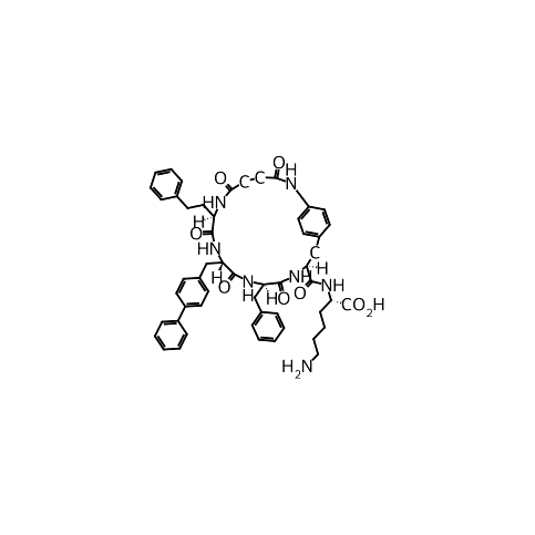 NCCCC[C@H](NC(=O)[C@@H]1Cc2ccc(cc2)NC(=O)CCC(=O)N[C@H](CCc2ccccc2)C(=O)N[C@@H](Cc2ccc(-c3ccccc3)cc2)C(=O)N[C@H](Cc2ccccc2)C(=O)N1)C(=O)O